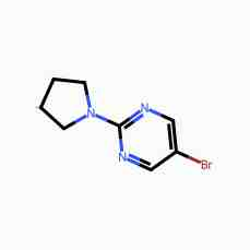 Brc1cnc(N2C[CH]CC2)nc1